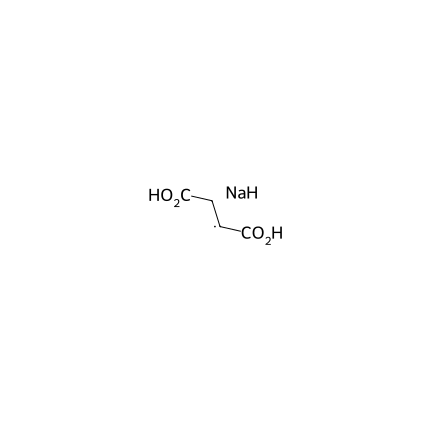 O=C(O)[CH]CC(=O)O.[NaH]